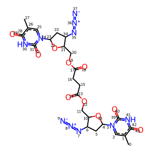 Cc1cn(C2CC(N=[N+]=[N-])C(COC(=O)CCC(=O)OCC3OC(n4cc(C)c(=O)[nH]c4=O)CC3N=[N+]=[N-])O2)c(=O)[nH]c1=O